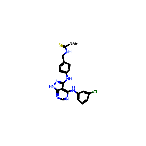 CNC(=S)NCc1ccc(Nc2n[nH]c3ncnc(Nc4cccc(Cl)c4)c23)cc1